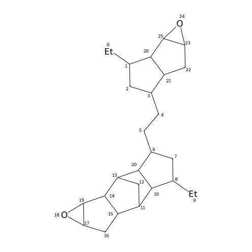 CCC1CC(CCC2CC(CC)C3C4CC(C5C4CC4OC45)C23)C2CC3OC3C12